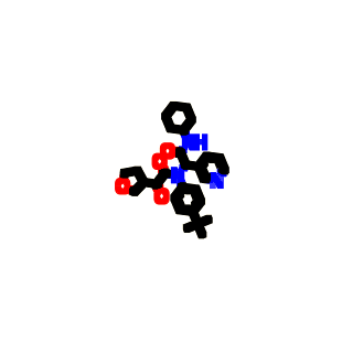 CC(C)(C)c1ccc(N(C(=O)C(=O)C2CCOC2)C(C(=O)NC2CCCCC2)c2cccnc2)cc1